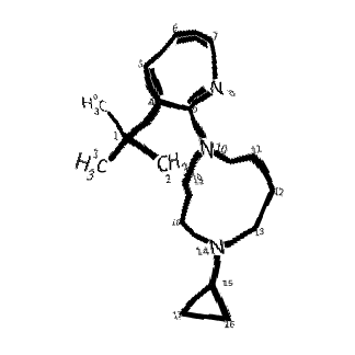 CC(C)(C)c1cccnc1N1CCCN(C2CC2)CC1